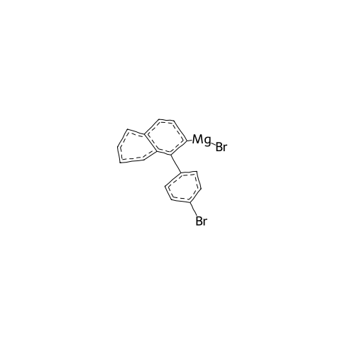 [Br][Mg][c]1ccc2ccccc2c1-c1ccc(Br)cc1